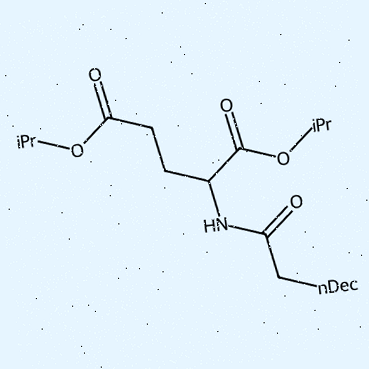 CCCCCCCCCCCC(=O)NC(CCC(=O)OC(C)C)C(=O)OC(C)C